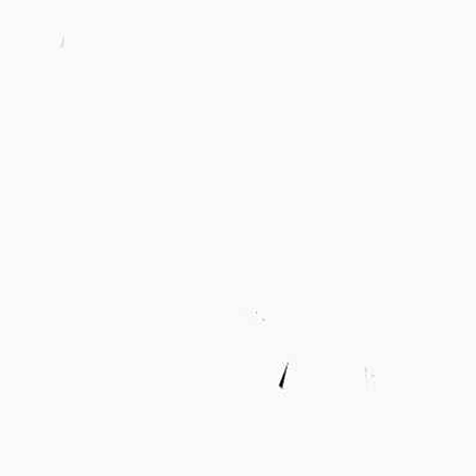 CCCc1ccc(-c2ccc(C(=O)N[C@H](CO)C(=O)NO)cc2)cc1